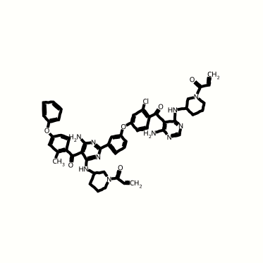 C=CC(=O)N1CCCC(Nc2nc(-c3cccc(Oc4ccc(C(=O)c5c(N)ncnc5NC5CCCN(C(=O)C=C)C5)c(Cl)c4)c3)nc(N)c2C(=O)c2ccc(Oc3ccccc3)cc2C)C1